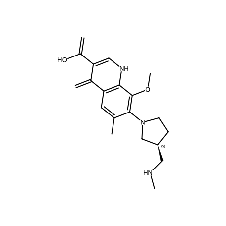 C=C(O)C1=CNc2c(cc(C)c(N3CC[C@@H](CNC)C3)c2OC)C1=C